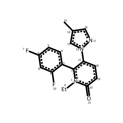 CCn1c(-c2ccc(F)cc2F)c(-n2cc(C)cn2)ccc1=O